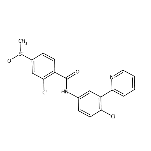 C[S+]([O-])c1ccc(C(=O)Nc2ccc(Cl)c(-c3ccccn3)c2)c(Cl)c1